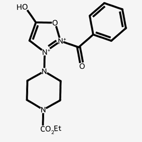 CCOC(=O)N1CCN([n+]2cc(O)o[n+]2C(=O)c2ccccc2)CC1